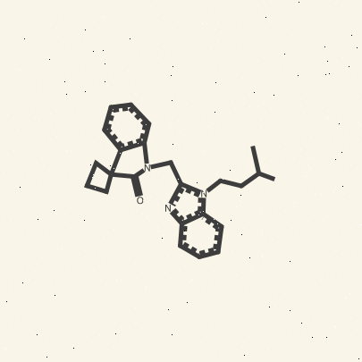 CC(C)CCn1c(CN2C(=O)C3(CCC3)c3ccccc32)nc2ccccc21